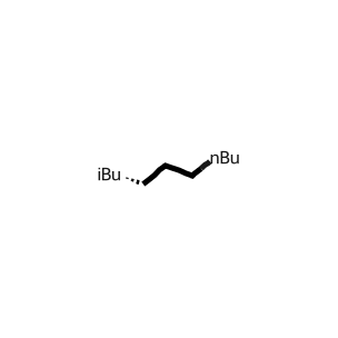 [CH2]CCCCCC[C@@H](C)CC